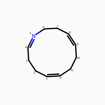 C1=CCCC=NCCC=CCC1